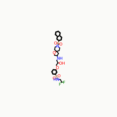 O=S(=O)(NCC(F)F)c1cccc(OCC(O)CNC2COC3(CCN(S(=O)(=O)c4ccc5ccccc5c4)CC3)C2)c1